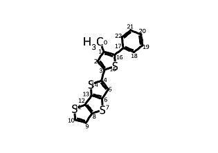 Cc1cc(-c2cc3sc4ccsc4c3s2)sc1-c1ccccc1